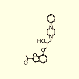 CC(=O)c1cc2cccc(OCC(O)CN3CCN(c4ccccc4)CC3)c2o1